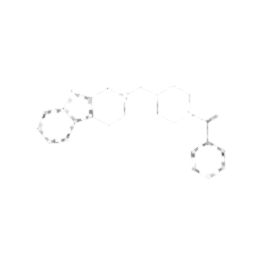 O=C(c1ccccc1)N1CCC(CN2CCc3c([nH]c4ccccc34)C2)CC1